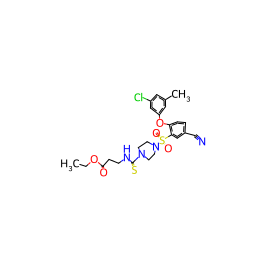 CCOC(=O)CCNC(=S)N1CCN(S(=O)(=O)c2cc(C#N)ccc2Oc2cc(C)cc(Cl)c2)CC1